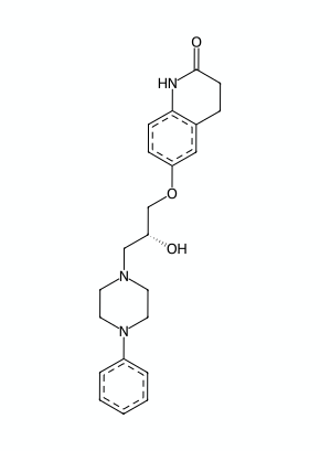 O=C1CCc2cc(OC[C@H](O)CN3CCN(c4ccccc4)CC3)ccc2N1